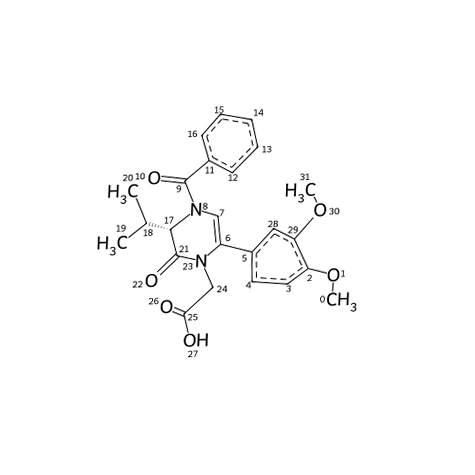 COc1ccc(C2=CN(C(=O)c3ccccc3)[C@@H](C(C)C)C(=O)N2CC(=O)O)cc1OC